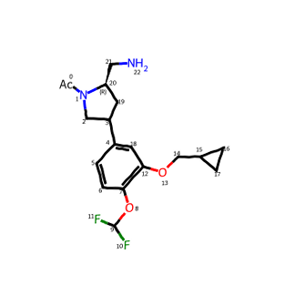 CC(=O)N1CC(c2ccc(OC(F)F)c(OCC3CC3)c2)C[C@@H]1CN